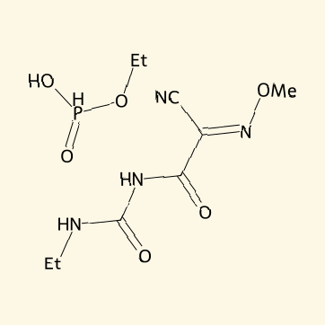 CCNC(=O)NC(=O)/C(C#N)=N/OC.CCO[PH](=O)O